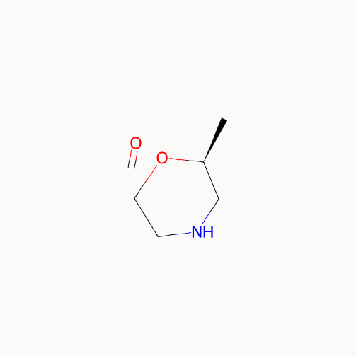 C=O.C[C@H]1CNCCO1